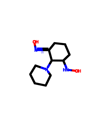 O/N=C1\CCCC(NO)C1N1CCCCC1